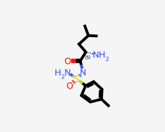 Cc1ccc(S(N)(=O)=NC(=O)[C@@H](N)CC(C)C)cc1